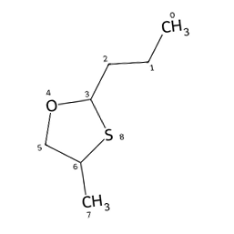 CCCC1OCC(C)S1